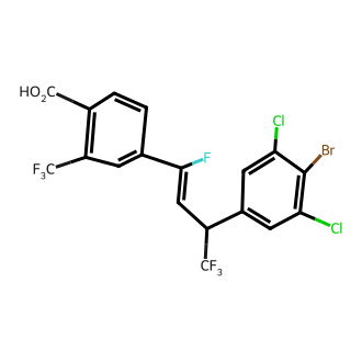 O=C(O)c1ccc(C(F)=CC(c2cc(Cl)c(Br)c(Cl)c2)C(F)(F)F)cc1C(F)(F)F